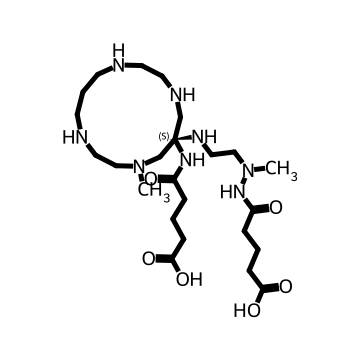 CN1CCNCCCNCCNC[C@](NCCN(C)NC(=O)CCCC(=O)O)(NC(=O)CCCC(=O)O)C1